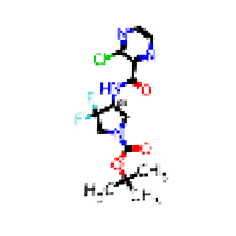 CC(C)(C)OC(=O)N1C[C@H](NC(=O)c2nccnc2Cl)C(F)(F)C1